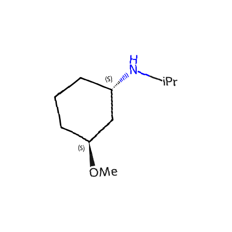 CO[C@H]1CCC[C@H](NC(C)C)C1